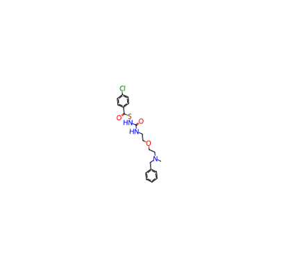 CN(CCOCCNC(=O)NSC(=O)c1ccc(Cl)cc1)Cc1ccccc1